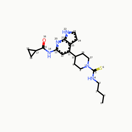 CCCCNC(=S)N1CCC(c2cc(NC(=O)C3CC3)nc3[nH]ccc23)CC1